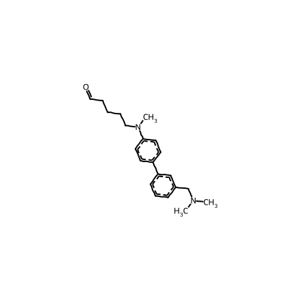 CN(C)Cc1cccc(-c2ccc(N(C)CCCCC=O)cc2)c1